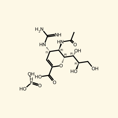 CC(=O)N[C@H]1[C@H]([C@H](O)[C@H](O)CO)OC(C(=O)O)=C[C@@H]1NC(=N)N.O=[PH](O)O